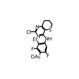 CCc1c(Nc2nc(Cl)nc3c2SCCC3)cc(F)c(OC(C)=O)c1F